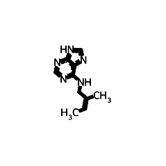 C/C=C(/C)CNc1ncnc2[nH]cnc12